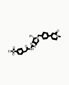 CCS(=O)(=O)c1ccc(CC(=O)Nc2nc3c(s2)CN(Cc2ccc(-c4ccn(C)c(=O)c4)cc2)[C@H]3C(C)C)cc1